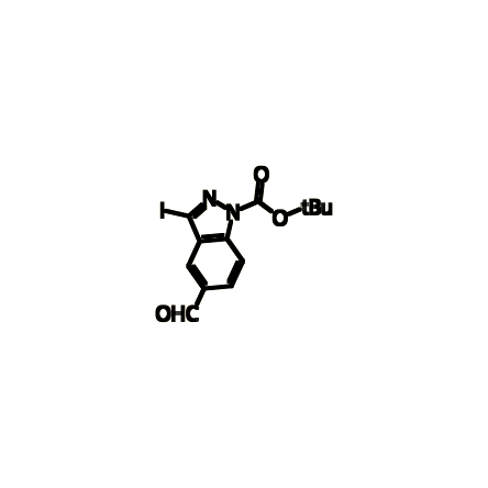 CC(C)(C)OC(=O)n1nc(I)c2cc(C=O)ccc21